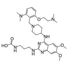 COc1cc2nc(NCCCNC(=O)O)nc(NC3CCN(Cc4c(OCCN(C)C)cccc4N(C)C)CC3)c2cc1OC